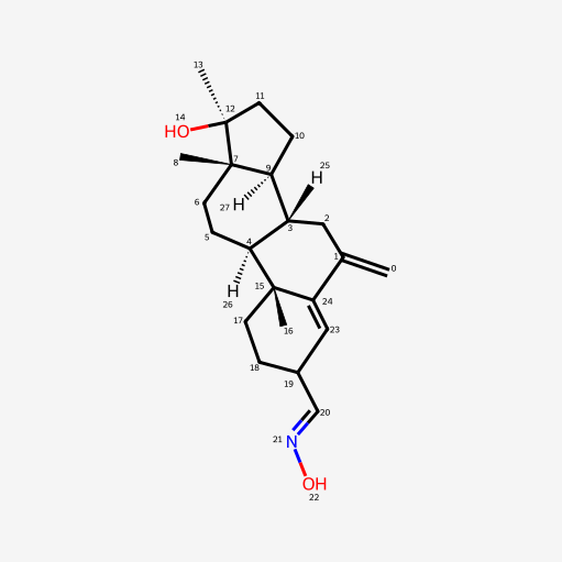 C=C1C[C@@H]2[C@H](CC[C@@]3(C)[C@H]2CC[C@]3(C)O)[C@@]2(C)CCC(/C=N/O)C=C12